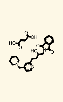 O=C(O)/C=C/C(=O)O.O=C1c2ccccc2C(=O)N1CC(O)CCc1cc(CN2CCCCC2)ccn1